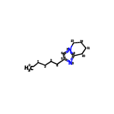 CCCCCc1cn2c(n1)CCCC2